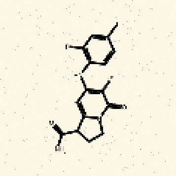 NC(=O)C1CCn2c1[c]c(Nc1ccc(I)cc1F)c(F)c2=O